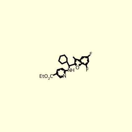 CCOC(=O)c1ccc(NC(c2oc3c(F)cc(F)cc3c2C)C2CCCCC2)nc1